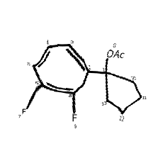 CC(=O)OC1(c2cccc(F)c2F)CCCC1